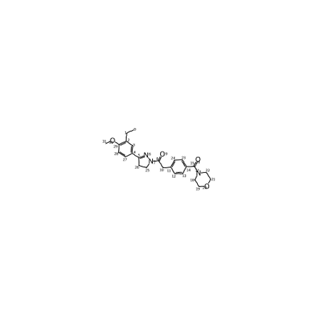 CCc1cc(C2=NN(C(=O)Cc3ccc(C(=O)N4CCOCC4)cc3)CC2)ccc1OC